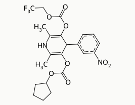 CC1=C(OC(=O)OCC(F)(F)F)C(c2cccc([N+](=O)[O-])c2)C(OC(=O)OC2CCCC2)=C(C)N1